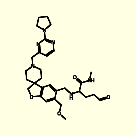 CNC(=O)C(CCC=O)NCc1cc2c(cc1COC)OCC21CCN(Cc2ccnc(N3CCCC3)n2)CC1